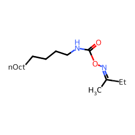 CCCCCCCCCCCCNC(=O)ON=C(C)CC